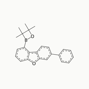 CC1(C)OB(c2cccc3oc4cc(-c5ccccc5)ccc4c23)C1(C)C